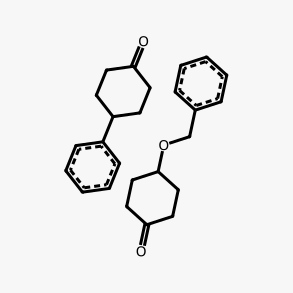 O=C1CCC(OCc2ccccc2)CC1.O=C1CCC(c2ccccc2)CC1